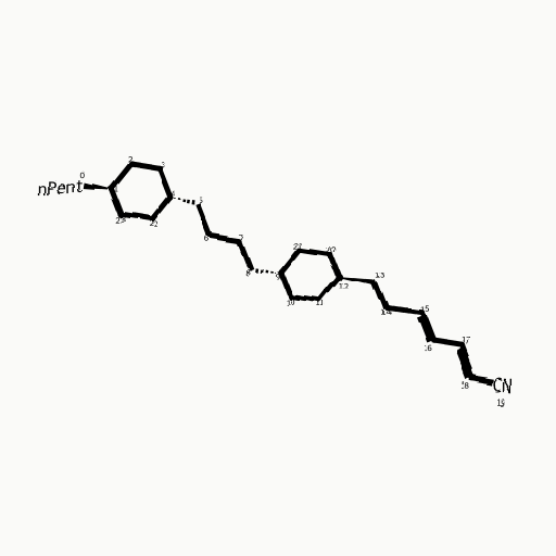 CCCCC[C@H]1CC[C@H](CCCC[C@H]2CC[C@H](CCC=CC=CC#N)CC2)CC1